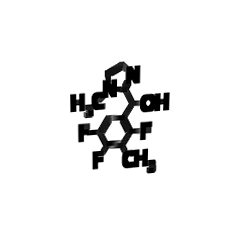 Cc1c(F)c(F)cc(C(O)c2nccn2C)c1F